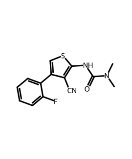 CN(C)C(=O)Nc1scc(-c2ccccc2F)c1C#N